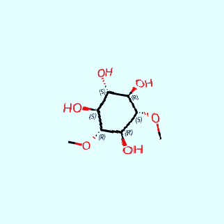 CO[C@@H]1[C@@H](O)[C@H](OC)[C@@H](O)[C@H](O)[C@H]1O